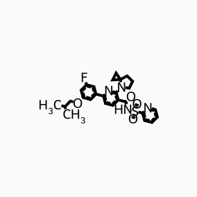 CC(C)COc1cc(F)cc(-c2ccc(C(=O)NS(=O)(=O)c3ccccn3)c(N3CCCC34CC4)n2)c1